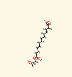 O=C(CCCCCCCCCCCCC1CO1)OCC1CO1